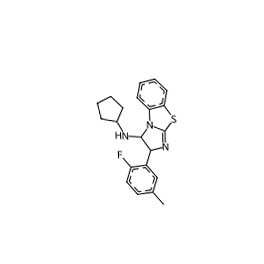 Cc1ccc(F)c(C2N=C3Sc4ccccc4N3C2NC2CCCC2)c1